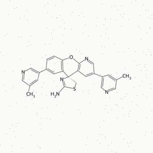 Cc1cncc(-c2ccc3c(c2)[C@@]2(CSC(N)=N2)c2cc(-c4cncc(C)c4)cnc2O3)c1